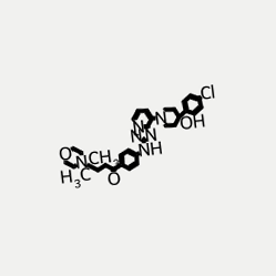 CC(C)(CCC(=O)c1ccc(Nc2nc3c(N4CCC(O)(c5ccc(Cl)cc5)CC4)cccn3n2)cc1)N1CCOCC1